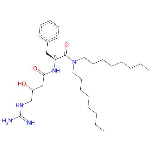 CCCCCCCCN(CCCCCCCC)C(=O)[C@H](Cc1ccccc1)NC(=O)CC(O)CNC(=N)N